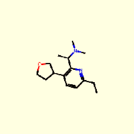 CCc1ccc([C@H]2CCOC2)c([C@@H](C)N(C)C)n1